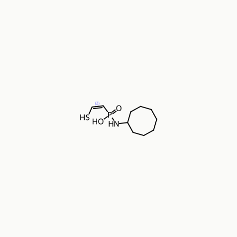 O=P(O)(/C=C\S)NC1CCCCCCC1